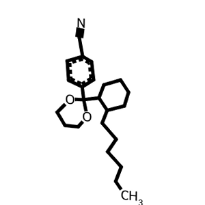 CCCCCCC1CCCCC1C1(c2ccc(C#N)cc2)OCCCO1